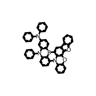 c1ccc(N(c2ccccc2)c2ccc3c(c2)N(c2ccccc2)c2cccc4c2B3c2cc3c(oc5ccccc53)c3c2N4c2ccccc2O3)cc1